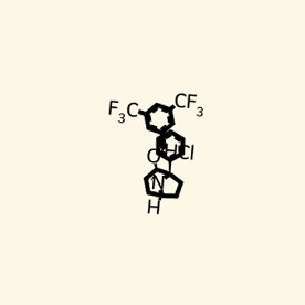 CN1[C@H]2CC[C@@H](OCc3cc(C(F)(F)F)cc(C(F)(F)F)c3)[C@]1(c1ccccc1)CC2.Cl